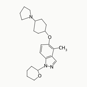 Cc1c(OC2CCC(N3CCCC3)CC2)ccc2c1cnn2C1CCCCO1